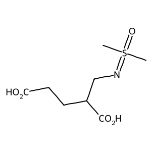 CS(C)(=O)=NCC(CCC(=O)O)C(=O)O